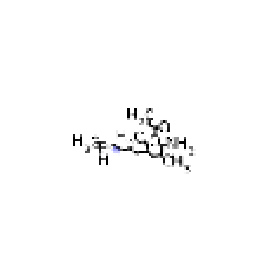 C=CC(=O)OC(N)C(C)CC(C=C)CC/C=C/PC